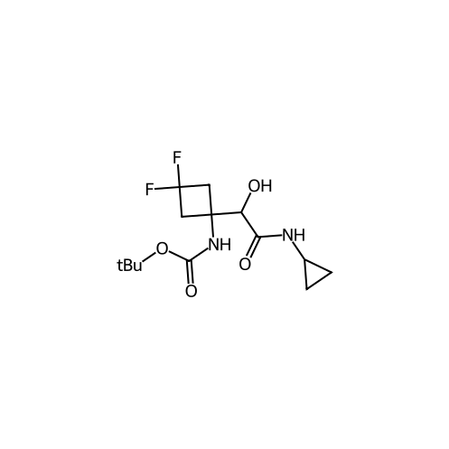 CC(C)(C)OC(=O)NC1(C(O)C(=O)NC2CC2)CC(F)(F)C1